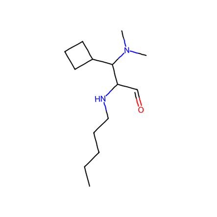 CCCCCNC(C=O)C(C1CCC1)N(C)C